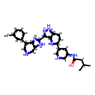 CC(C)CC(=O)Nc1cncc(-c2ccc3[nH]nc(-c4nc5c(-c6cccc(F)c6)cncc5[nH]4)c3n2)c1